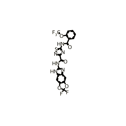 O=C(Nc1nc2cc3c(cc2[nH]1)OC(F)(F)O3)c1nsc(NC(=O)c2ccccc2OC(F)(F)F)n1